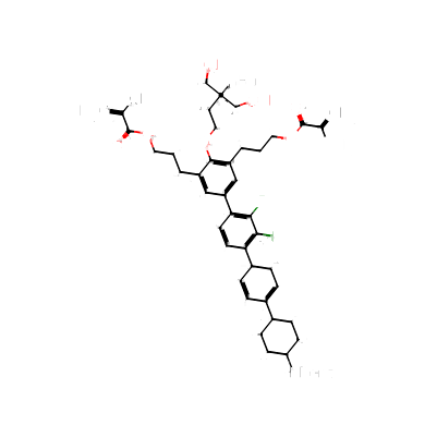 C=C(C)C(=O)OCCCc1cc(-c2ccc(C3C=CC(C4CCC(CCCCC)CC4)=CC3)c(F)c2F)cc(CCCOC(=O)C(=C)C)c1OCCC(CO)(CO)CCCC